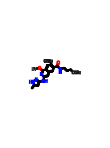 COCCCNC(=O)c1cc2cc(Nc3cc(C)[nH]n3)nc(OC(C)C)c2cc1OC